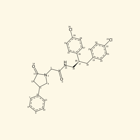 O=C(CN1CC(c2ccccc2)CC1=O)NC[C@H](Cc1ccc(Cl)cc1)c1ccc(Cl)cc1